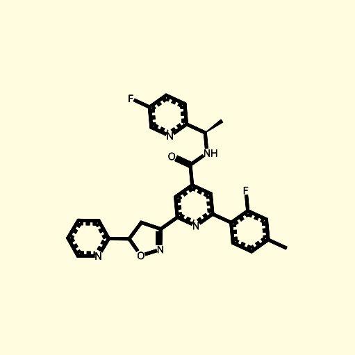 Cc1ccc(-c2cc(C(=O)N[C@H](C)c3ccc(F)cn3)cc(C3=NOC(c4ccccn4)C3)n2)c(F)c1